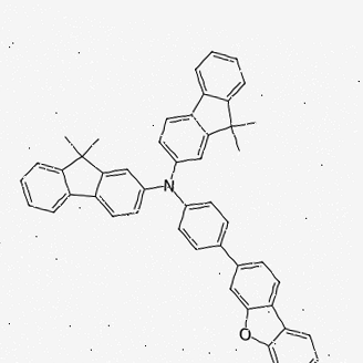 CC1(C)c2ccccc2-c2ccc(N(c3ccc(-c4ccc5c(c4)oc4ccccc45)cc3)c3ccc4c(c3)C(C)(C)c3ccccc3-4)cc21